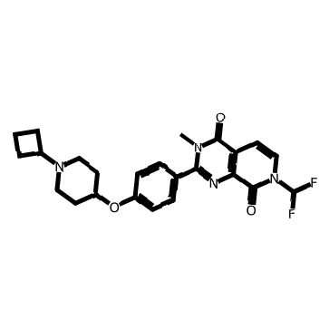 Cn1c(-c2ccc(OC3CCN(C4CCC4)CC3)cc2)nc2c(=O)n(C(F)F)ccc2c1=O